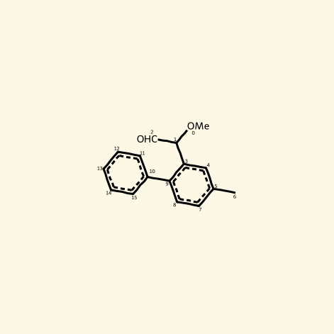 COC(C=O)c1cc(C)ccc1-c1ccccc1